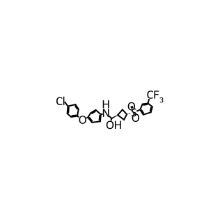 O=S(=O)(c1cccc(C(F)(F)F)c1)[C@H]1C[C@H](C(O)Nc2ccc(Oc3ccc(Cl)cc3)cc2)C1